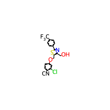 N#Cc1ccc(OCc2sc(-c3ccc(C(F)(F)F)cc3)nc2CO)cc1Cl